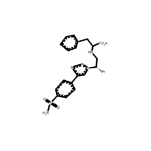 CC(C)[C@@H](CNC(Cc1ccccc1)C(=O)O)n1cc(-c2ccc(S(N)(=O)=O)cc2)nn1